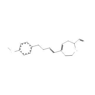 COc1ccc(CC/C=C/C2=CCC(C=O)NCC2)cc1